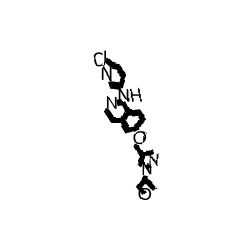 Clc1ccc(Nc2nccc3cc(OCc4cnn(C5COC5)c4)ccc23)cn1